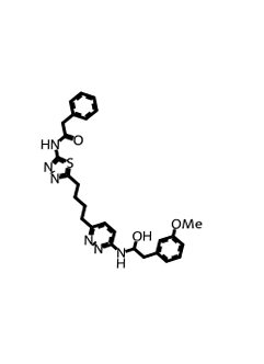 COc1cccc(CC(O)Nc2ccc(CCCCc3nnc(NC(=O)Cc4ccccc4)s3)nn2)c1